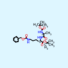 C[C@H](NC(=O)OC(C)(C)C)C(=O)N[C@@H](CCCCNC(=O)OCc1ccccc1)C(=O)OC(C)(C)C